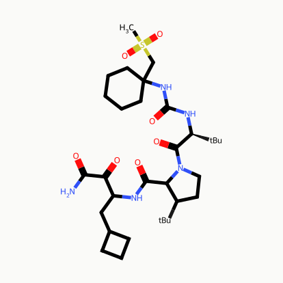 CC(C)(C)C1CCN(C(=O)[C@@H](NC(=O)NC2(CS(C)(=O)=O)CCCCC2)C(C)(C)C)C1C(=O)NC(CC1CCC1)C(=O)C(N)=O